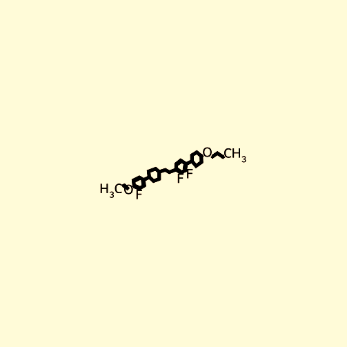 CCCCOC1CCC(c2ccc(CCC3CCC(c4ccc(OCC)c(F)c4)CC3)c(F)c2F)CC1